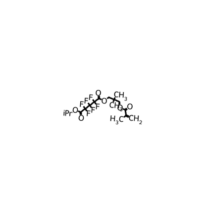 C=C(C)C(=O)OCC(C)(C)COC(=O)C(F)(F)C(F)(F)C(F)(F)C(=O)OC(C)C